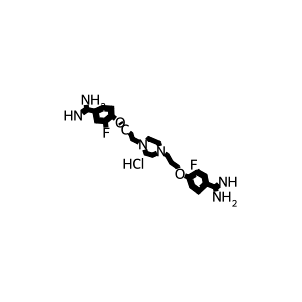 Cl.N=C(N)c1ccc(OCCCN2CCN(CCCOc3ccc(C(=N)N)cc3F)CC2)c(F)c1